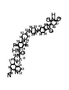 C[C@@H]1CN(c2ccc(C#N)c3ncccc23)[C@@H](C)CN1C(=O)Nc1cc(F)c(N2CCC(CN3CCN(c4ccc5c(c4)CN(C4CCC(=O)NC4=O)C5=O)CC3)CC2)cc1F